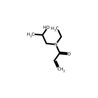 C=CC(=O)N(CC)CC(C)O